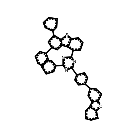 c1ccc(-c2cc(-c3ccccc3)c3sc4cccc(-c5nc(-c6ccccc6)nc(-c6ccc(-c7ccc8oc9ccccc9c8c7)cc6)n5)c4c3c2)cc1